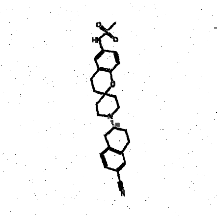 CS(=O)(=O)Nc1ccc2c(c1)CCC1(CCN([C@@H]3CCc4cc(C#N)ccc4C3)CC1)O2